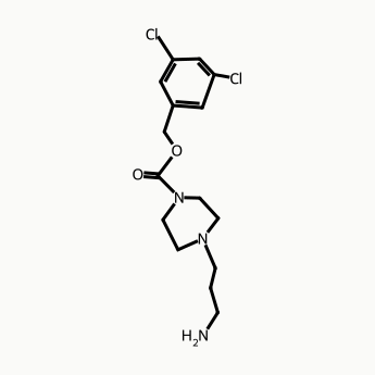 NCCCN1CCN(C(=O)OCc2cc(Cl)cc(Cl)c2)CC1